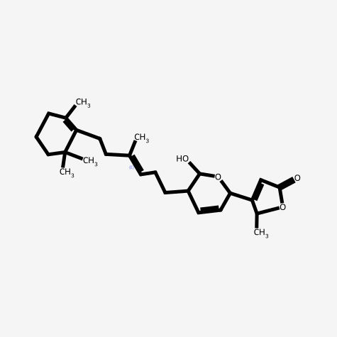 CC1=C(CC/C(C)=C/CCC2C=CC(C3=CC(=O)OC3C)OC2O)C(C)(C)CCC1